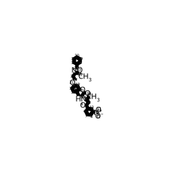 CC(=CC(=O)c1cccc([N+](=O)[O-])c1)N[C@@H](Cc1ccc(OCCc2nc(-c3ccccc3)oc2C)cc1)C(=O)O